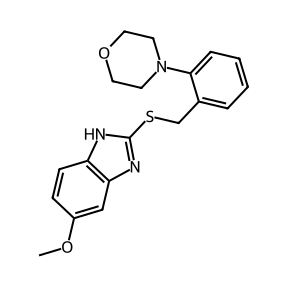 COc1ccc2[nH]c(SCc3ccccc3N3CCOCC3)nc2c1